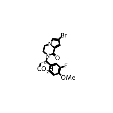 COc1ccc([C@H](CC(=O)O)N2CCn3cc(Br)cc3C2=O)cc1F